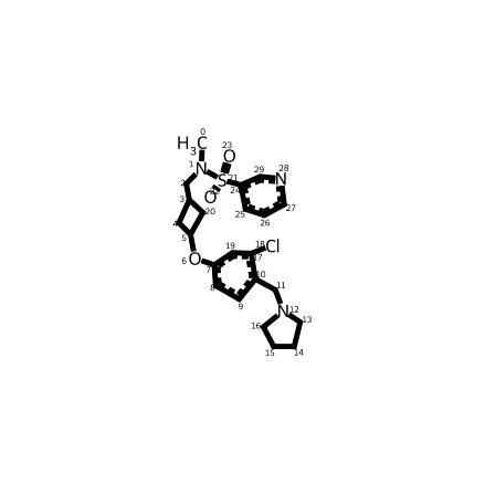 CN(CC1CC(Oc2ccc(CN3CCCC3)c(Cl)c2)C1)S(=O)(=O)c1cccnc1